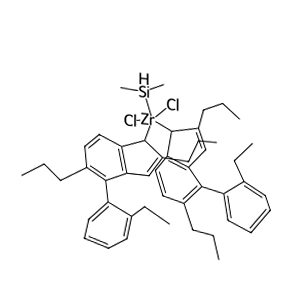 CCCC1=Cc2c(ccc(CCC)c2-c2ccccc2CC)[CH]1[Zr]([Cl])([Cl])([CH]1C(CCC)=Cc2c1ccc(CCC)c2-c1ccccc1CC)[SiH](C)C